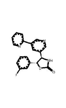 O=C1N[C@H](c2cncc(-c3ccccn3)c2)[C@@H](c2cccc(F)c2)O1